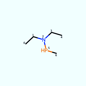 CCN(CC)PC